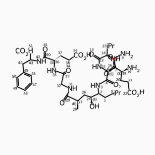 CC(C)CC(NC(=O)[C@H](CC(N)=O)NC(=O)C(NC(=O)[C@@H](N)CCC(=O)O)C(C)C)[C@@H](O)C[C@@H](C)C(=O)NCC(=O)N[C@@H](CCC(=O)O)C(=O)NC(Cc1ccccc1)C(=O)O